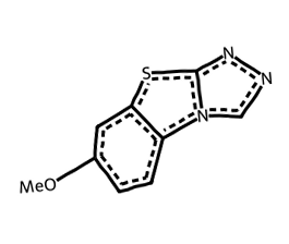 COc1ccc2c(c1)sc1nncn12